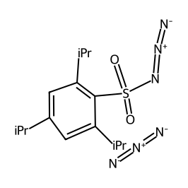 CC(C)c1cc(C(C)C)c(S(=O)(=O)N=[N+]=[N-])c(C(C)C)c1.[N-]=[N+]=[N-]